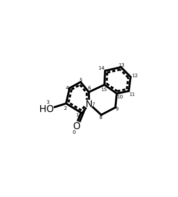 O=c1c(O)ccc2n1CCc1ccccc1-2